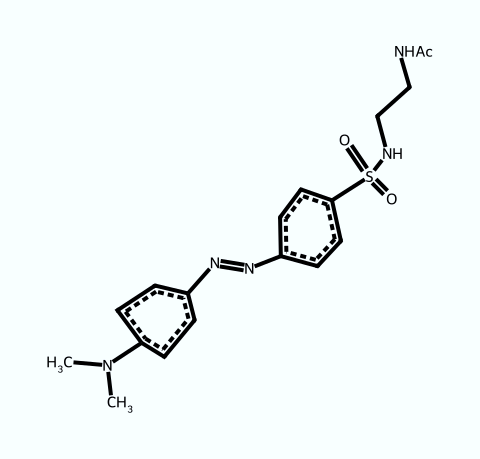 CC(=O)NCCNS(=O)(=O)c1ccc(/N=N/c2ccc(N(C)C)cc2)cc1